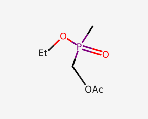 CCOP(C)(=O)COC(C)=O